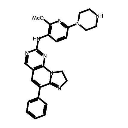 COc1nc(N2CCNCC2)ccc1Nc1ncc2c(n1)N1CCN=C1C(c1ccccc1)=C2